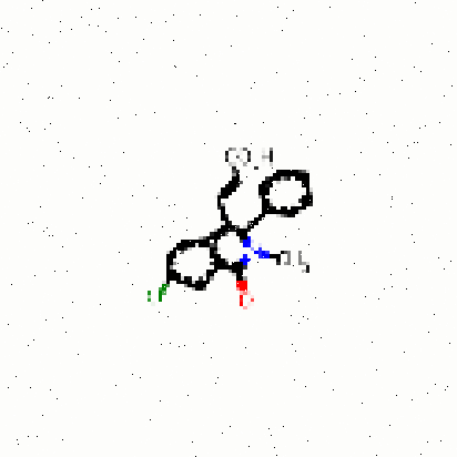 Cn1c(-c2ccccc2)c(/C=C/C(=O)O)c2ccc(Cl)cc2c1=O